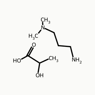 CC(O)C(=O)O.CN(C)CCCN